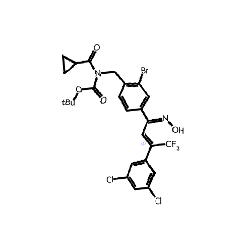 CC(C)(C)OC(=O)N(Cc1ccc(C(/C=C(/c2cc(Cl)cc(Cl)c2)C(F)(F)F)=NO)cc1Br)C(=O)C1CC1